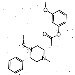 COc1cccc(OC(=O)C[C@H]2CN(SI)[C@@H](c3ccccc3)CN2C)c1